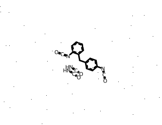 N=C=O.N=C=O.O=C=Nc1ccc(Cc2ccccc2N=C=O)cc1